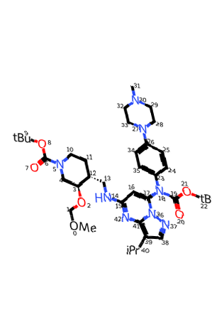 COCO[C@H]1CN(C(=O)OC(C)(C)C)CC[C@@H]1CNc1cc(N(C(=O)OC(C)(C)C)c2ccc(N3CCN(C)CC3)cc2)n2ncc(C(C)C)c2n1